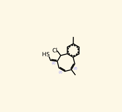 CC1=C/c2ccc(C)cc2C(Cl)C(=C\S)/C=C\1